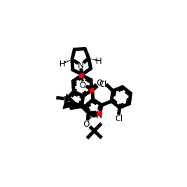 Cn1cc(C(=O)OC(C)(C)C)c2ccc(N3[C@@H]4CC[C@H]3C[C@@H](OC(=O)c3c(-c5c(Cl)cccc5Cl)noc3C3CC3)C4)cc21